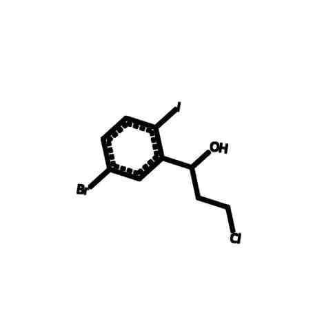 OC(CCCl)c1cc(Br)ccc1I